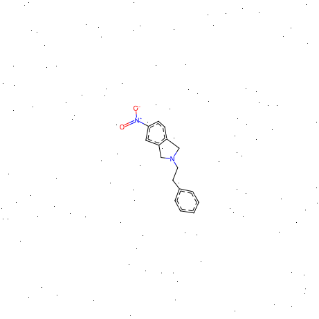 O=[N+]([O-])c1ccc2c(c1)CN(CCc1ccccc1)C2